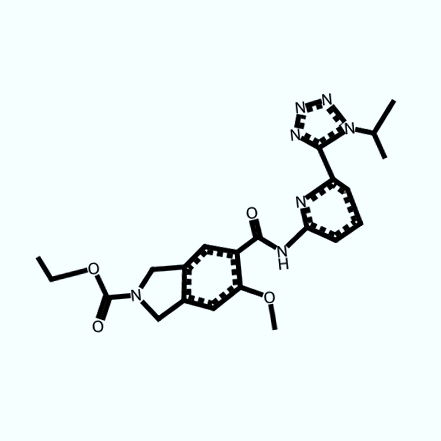 CCOC(=O)N1Cc2cc(OC)c(C(=O)Nc3cccc(-c4nnnn4C(C)C)n3)cc2C1